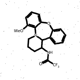 COc1cccc2c1N1CCCC(NC(=O)C(F)(F)F)C1c1ccccc1O2